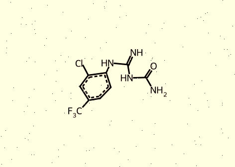 N=C(NC(N)=O)Nc1ccc(C(F)(F)F)cc1Cl